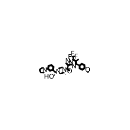 COc1ccc(-c2nc3c(C(=O)N4CCN([C@H](CO)c5cccc(N6CCCC6)c5)C[C@H]4C)cnn3c(C(F)(F)F)c2C)cc1